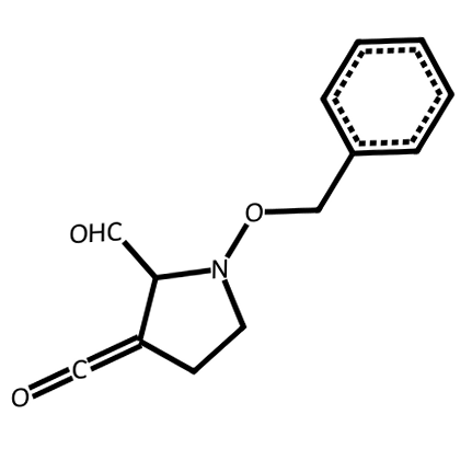 O=C=C1CCN(OCc2ccccc2)C1C=O